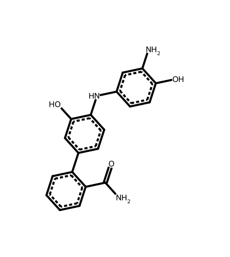 NC(=O)c1ccccc1-c1ccc(Nc2ccc(O)c(N)c2)c(O)c1